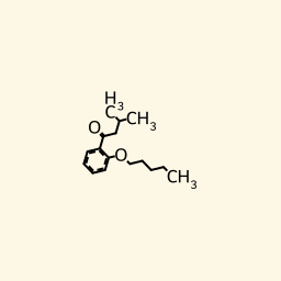 CCCCCOc1ccccc1C(=O)CC(C)C